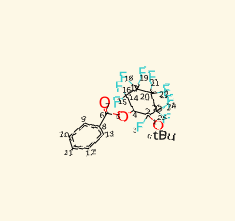 CC(C)(C)OC1(F)C(OC(=O)c2ccccc2)C(F)(F)C(F)(F)C(F)(F)C1(F)F